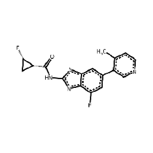 Cc1ccncc1-c1cc(F)c2nc(NC(=O)[C@@H]3C[C@@H]3F)sc2c1